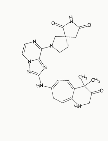 CC1(C)C(=O)CNC2=CCC(Nc3nc4c(N5CC[C@]6(CC(=O)NC6=O)C5)nccn4n3)=CC=C21